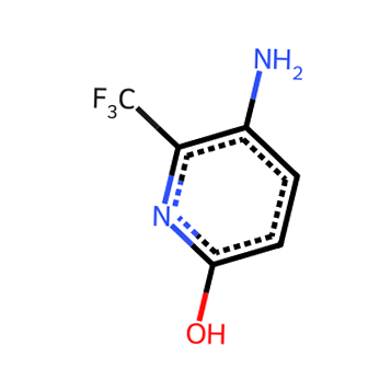 Nc1ccc(O)nc1C(F)(F)F